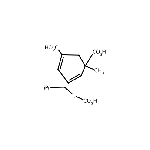 CC(C)CCC(=O)O.CC1(C(=O)O)C=CC=C(C(=O)O)C1